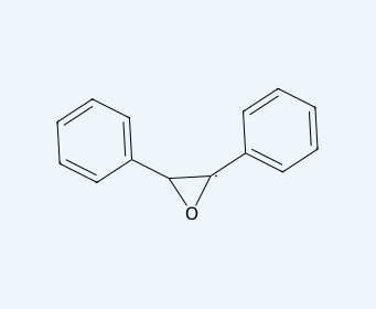 c1ccc([C]2OC2c2ccccc2)cc1